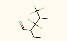 CCC(C=O)C(F)(F)C(C)C(F)(F)F